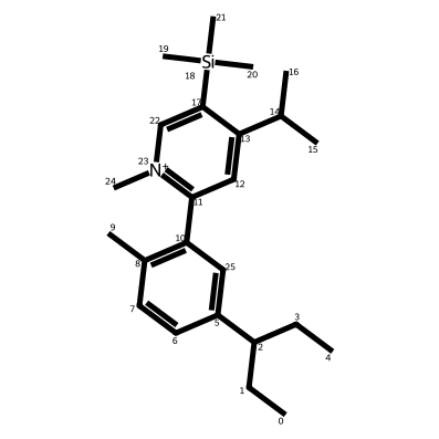 CCC(CC)c1ccc(C)c(-c2cc(C(C)C)c([Si](C)(C)C)c[n+]2C)c1